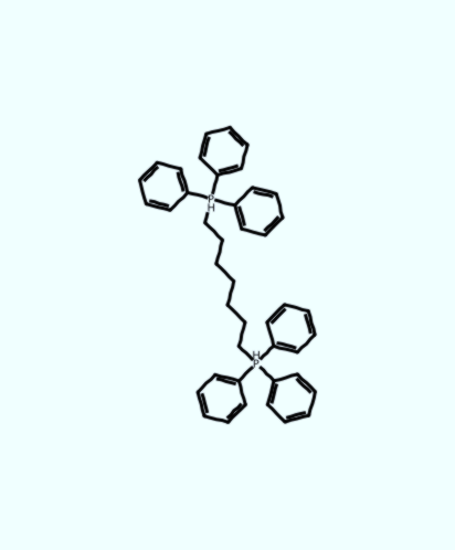 c1ccc([PH](CCCCCCC[PH](c2ccccc2)(c2ccccc2)c2ccccc2)(c2ccccc2)c2ccccc2)cc1